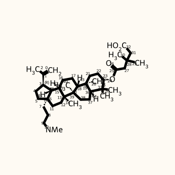 C=C(C)[C@@H]1CC[C@]2(CCCNC)CC[C@]3(C)[C@H](CC[C@@H]4[C@@]5(C)CC[C@H](OC(=O)CC(C)(C)CC(=O)O)C(C)(C)[C@@H]5CC[C@]43C)[C@@H]12